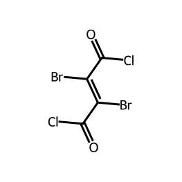 O=C(Cl)/C(Br)=C(\Br)C(=O)Cl